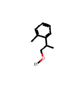 [CH2]c1ccccc1C(C)COCC